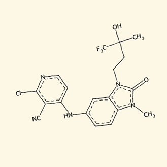 Cn1c(=O)n(CCC(C)(O)C(F)(F)F)c2cc(Nc3ccnc(Cl)c3C#N)ccc21